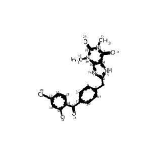 Cn1c(=O)c2[nH]c(Cc3ccc(C(=O)c4ccc(Cl)cc4Cl)cc3)nc2n(C)c1=O